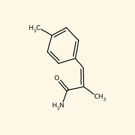 CC(=Cc1ccc(C)cc1)C(N)=O